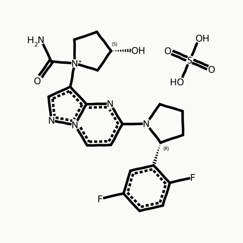 NC(=O)[N+]1(c2cnn3ccc(N4CCC[C@@H]4c4cc(F)ccc4F)nc23)CC[C@H](O)C1.O=S(=O)(O)O